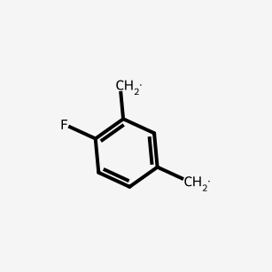 [CH2]c1ccc(F)c([CH2])c1